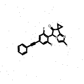 O=C1C(c2c(F)cc(C#Cc3ccccc3)cc2F)n2cc(I)nc2C12CC2